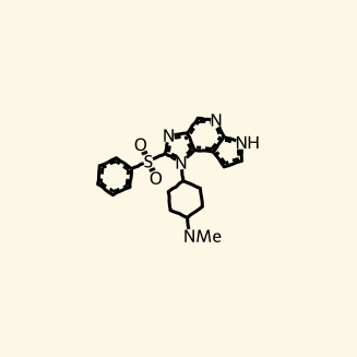 CNC1CCC(n2c(S(=O)(=O)c3ccccc3)nc3cnc4[nH]ccc4c32)CC1